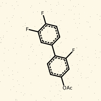 CC(=O)Oc1ccc(-c2ccc(F)c(F)c2)c(F)c1